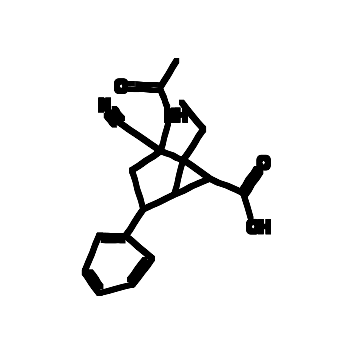 CCC12C(C(=O)O)C1C(c1ccccc1)CC2(C#N)NC(C)=O